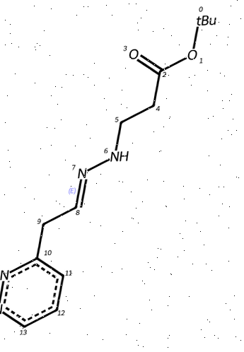 CC(C)(C)OC(=O)CCN/N=C/Cc1cccnn1